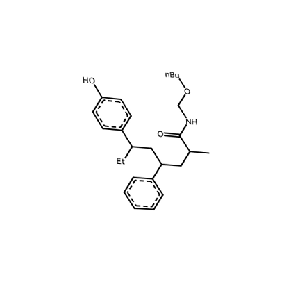 CCCCOCNC(=O)C(C)CC(CC(CC)c1ccc(O)cc1)c1ccccc1